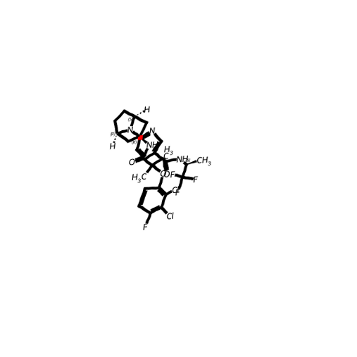 C[C@H](NC(=O)c1ccc(N2[C@@H]3CC[C@H]2C[C@@H](NC(=O)C(C)(C)Oc2ccc(F)c(Cl)c2Cl)C3)nc1)C(F)(F)F